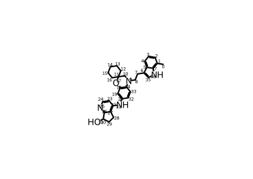 Cc1cccc2c(CCN3CC4(CCCCC4)Oc4cc(Nc5ccnc6c5CCC6O)ccc43)c[nH]c12